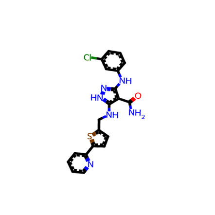 NC(=O)c1c(Nc2cccc(Cl)c2)n[nH]c1NCc1ccc(-c2ccccn2)s1